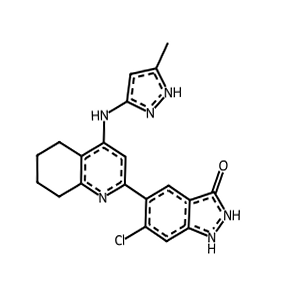 Cc1cc(Nc2cc(-c3cc4c(=O)[nH][nH]c4cc3Cl)nc3c2CCCC3)n[nH]1